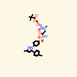 Cc1ccc(-c2cc(C)nn2-c2ccc(S(=O)(=O)NC(=O)CN(C)/[N+]([O-])=N/OCOC(=O)C(C)(C)C)cc2)cc1